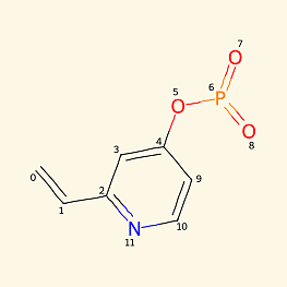 C=Cc1cc(OP(=O)=O)ccn1